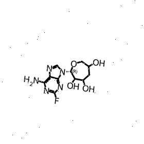 Nc1nc(F)nc2c1ncn2[C@@H]1OCC(O)CC(O)C1O